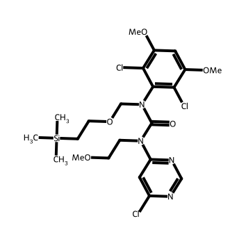 COCCN(C(=O)N(COCC[Si](C)(C)C)c1c(Cl)c(OC)cc(OC)c1Cl)c1cc(Cl)ncn1